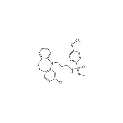 CN=S(=O)(NCCCN1c2ccccc2CCc2ccc(Cl)cc21)c1ccc(OC(F)(F)F)cc1